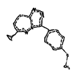 COc1ccc(-c2nnc3ccc(Cl)nn23)cc1